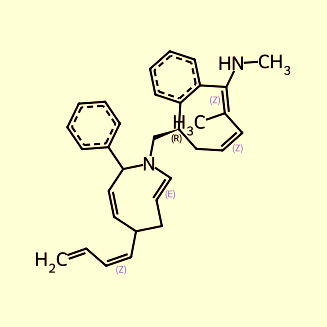 C=C/C=C\C1C=CC(c2ccccc2)N(C[C@@H]2C/C=C\C(C)=C(/NC)c3ccccc32)/C=C/C1